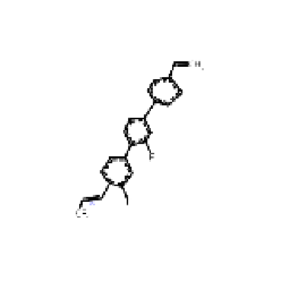 C=Cc1ccc(-c2ccc(-c3ccc(/C=C/C(F)(F)F)c(F)c3)c(F)c2)cc1